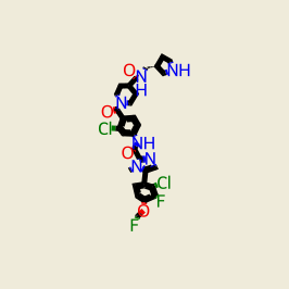 Cn1c(-c2ccc(OCF)c(F)c2Cl)cnc1C(=O)Nc1ccc(C(=O)N2CCC(C(=O)NC[C@@H]3CCNC3)CC2)c(Cl)c1